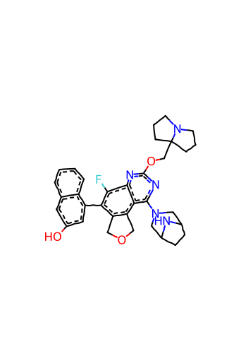 Oc1cc(-c2c3c(c4c(N5CC6CCC(C5)N6)nc(OCC56CCCN5CCC6)nc4c2F)COC3)c2ccccc2c1